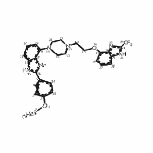 CCCCCCOc1ccc(-c2nc3c(N4CCN(CCOc5cccc6[nH]c(C(F)(F)F)nc56)CC4)cccc3[nH]2)cc1